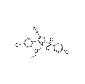 CCOCn1c(S(=O)(=O)c2ccc(Cl)cc2)cc(C#N)c1-c1ccc(Cl)cc1